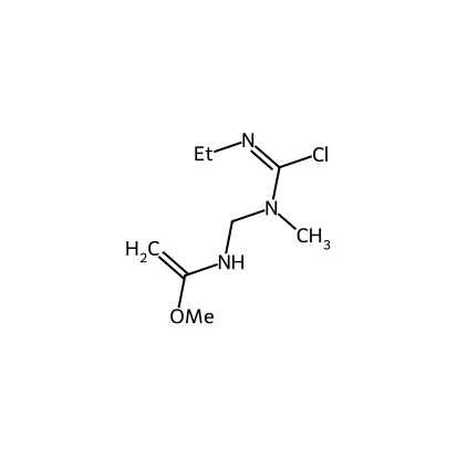 C=C(NCN(C)/C(Cl)=N\CC)OC